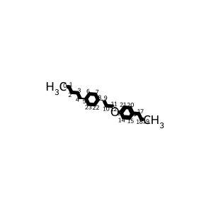 CCCCC[C@H]1CC[C@H](CCCOc2ccc(CCC)cc2)CC1